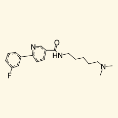 CN(C)CCCCCNC(=O)c1ccc(-c2cccc(F)c2)nc1